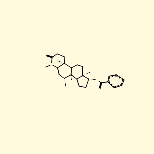 C[C@H]1C[C@H]2N(C)C(=O)CC[C@]2(C)[C@H]2CC[C@]3(C)[C@@H](NC(=O)c4ccccc4)CC[C@H]3[C@H]12